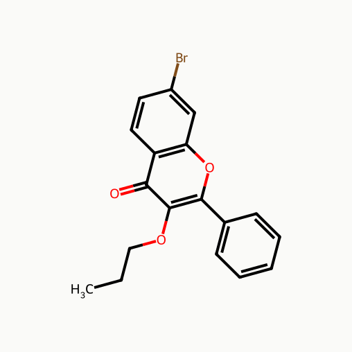 CCCOc1c(-c2ccccc2)oc2cc(Br)ccc2c1=O